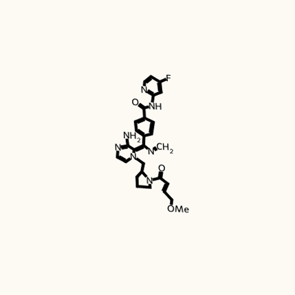 C=N/C(=C1/C(N)=NC=CN1CC1CCCN1C(=O)/C=C/COC)c1ccc(C(=O)Nc2cc(F)ccn2)cc1